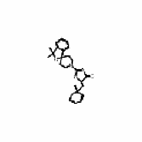 CC1(CC2OC(N3CCC4(CC3)OC(C)(C)c3ccccc34)=NC2=O)C=CC=CC1